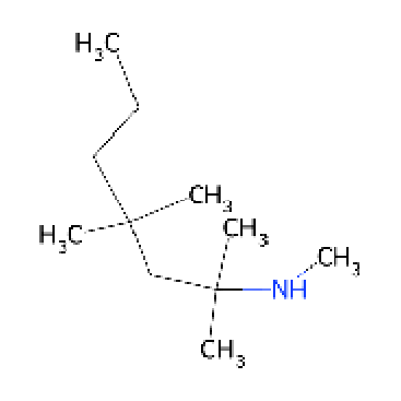 CCCC(C)(C)CC(C)(C)NC